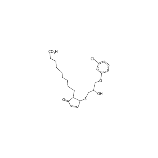 O=C(O)CCCCCCCCC1C(=O)C=CC1SCC(O)COc1cccc(Cl)c1